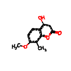 COc1ccc2c(O)cc(=O)oc2c1C